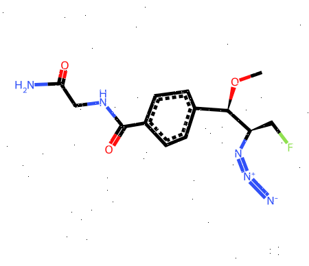 CO[C@H](c1ccc(C(=O)NCC(N)=O)cc1)[C@@H](CF)N=[N+]=[N-]